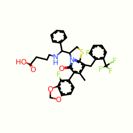 Cc1c(Cc2c(F)cccc2C(F)(F)F)c2n(c(=O)c1-c1ccc3c(c1F)OCO3)C(C(NCCCC(=O)O)c1ccccc1)CS2